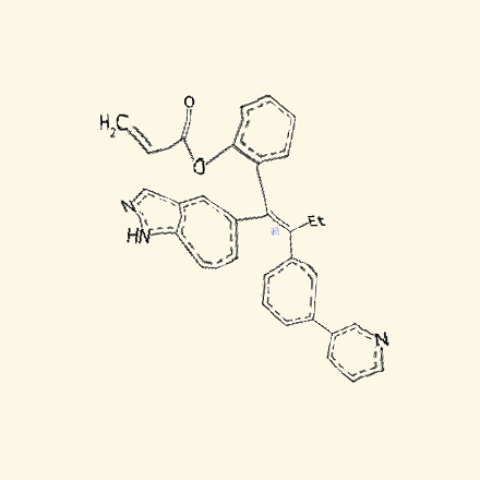 C=CC(=O)Oc1ccccc1/C(=C(\CC)c1cccc(-c2cccnc2)c1)c1ccc2[nH]ncc2c1